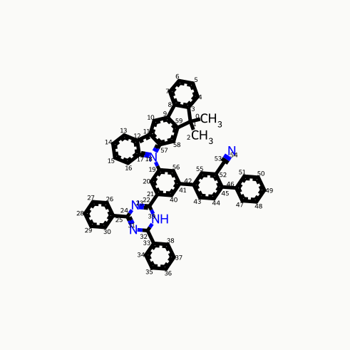 CC1(C)c2ccccc2-c2cc3c4ccccc4n(-c4cc(C5=NC(c6ccccc6)=NC(c6ccccc6)N5)cc(-c5ccc(-c6ccccc6)c(C#N)c5)c4)c3cc21